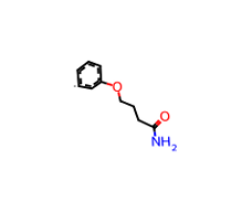 NC(=O)CCCOc1c[c]ccc1